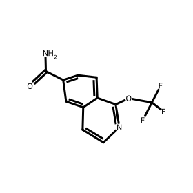 NC(=O)c1ccc2c(OC(F)(F)F)nccc2c1